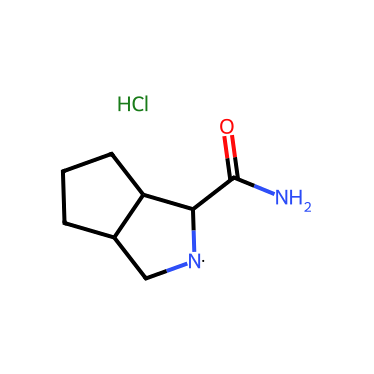 Cl.NC(=O)C1[N]CC2CCCC21